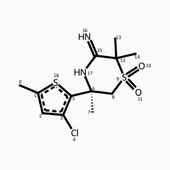 Cc1cc(Cl)c([C@]2(C)CS(=O)(=O)C(C)(C)C(=N)N2)s1